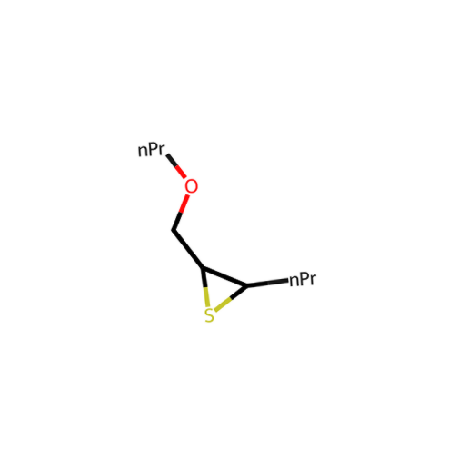 CCCOCC1SC1CCC